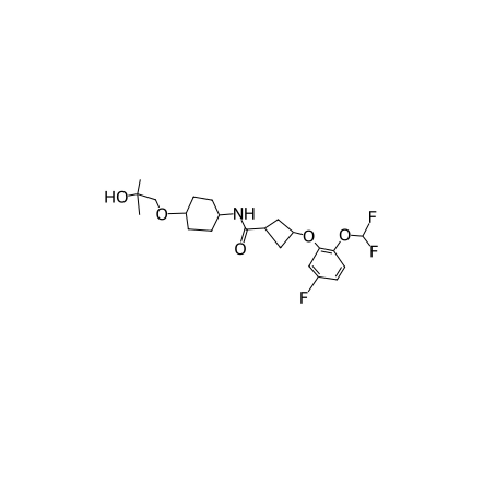 CC(C)(O)COC1CCC(NC(=O)C2CC(Oc3cc(F)ccc3OC(F)F)C2)CC1